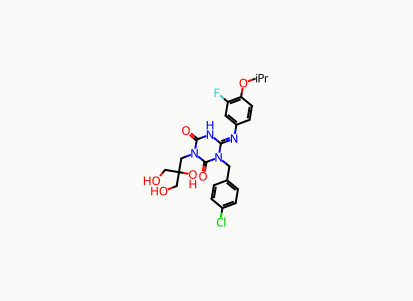 CC(C)Oc1ccc(/N=c2\[nH]c(=O)n(CC(O)(CO)CO)c(=O)n2Cc2ccc(Cl)cc2)cc1F